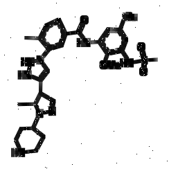 COc1c(NC(=O)c2ccc(C)c(N3C=C(C4C=NN(C5CCNCC5)C4C)NN3)c2)cc(C(C)(C)C)cc1NS(C)(=O)=O